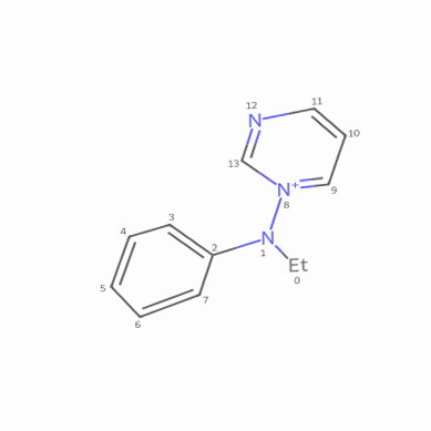 CCN(c1ccccc1)[n+]1cccnc1